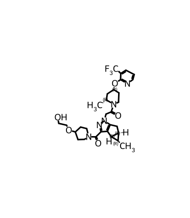 C[C@@H]1[C@@H]2Cc3c(c(C(=O)N4CCC(OCCO)CC4)nn3CC(=O)N3CC[C@@H](Oc4ncccc4C(F)(F)F)C[C@H]3C)[C@H]12